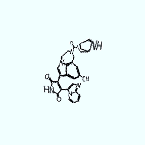 N#Cc1cc2c3c(c1)c(C1=C(c4cnc5ccccn45)C(=O)NC1=O)cn3CCN(C(=O)N1CC3CC1CN3)C2